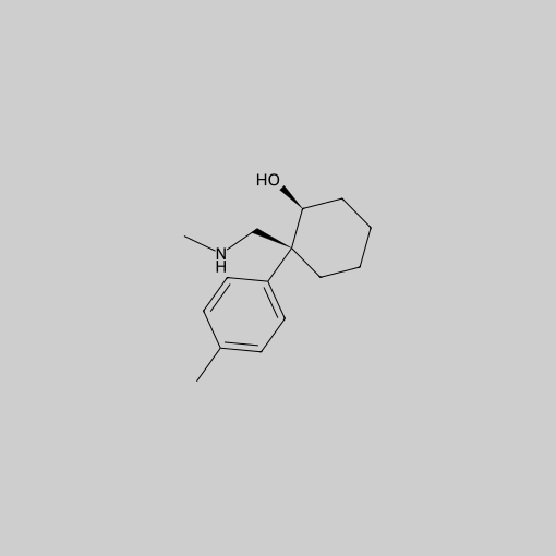 CNC[C@]1(c2ccc(C)cc2)CCCC[C@@H]1O